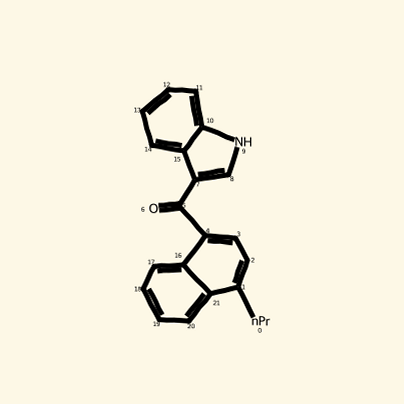 CCCc1ccc(C(=O)c2c[nH]c3ccccc23)c2ccccc12